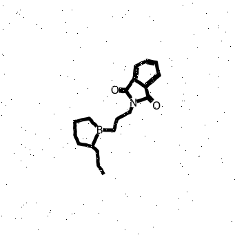 CCCC1CCCCB1CCCN1C(=O)c2ccccc2C1=O